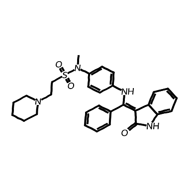 CN(c1ccc(NC(=C2C(=O)Nc3ccccc32)c2ccccc2)cc1)S(=O)(=O)CCN1CCCCC1